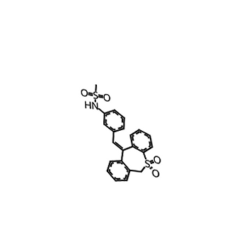 CS(=O)(=O)Nc1cccc(C=C2c3ccccc3CS(=O)(=O)c3ccccc32)c1